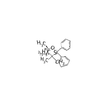 [2H]C[C@@H](C)O[Si](c1ccccc1)(c1ccccc1)C(C)(C)C